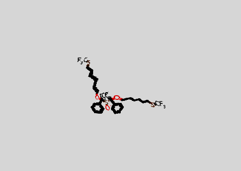 [O-][S+](C(OCCCCCCSC(F)(F)F)(c1ccccc1)C(F)(F)F)C(OCCCCCCSC(F)(F)F)(c1ccccc1)C(F)(F)F